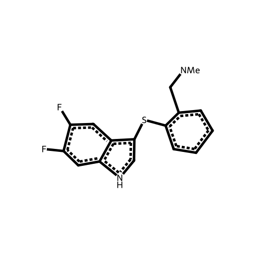 CNCc1ccccc1Sc1c[nH]c2cc(F)c(F)cc12